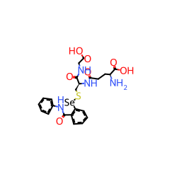 N[C@@H](CCC(=O)N[C@@H](CS[Se]c1ccccc1C(=O)Nc1ccccc1)C(=O)NCC(=O)O)C(=O)O